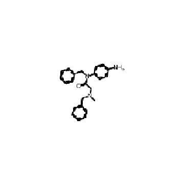 CN(CC(=O)N(Cc1ccccc1)c1ccc(N)cc1)Cc1ccccc1